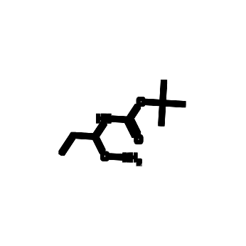 CCC(NC(=O)OC(C)(C)C)ON